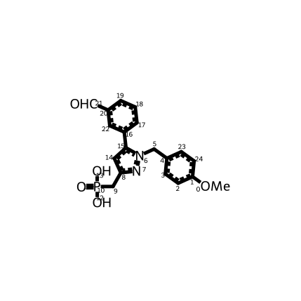 COc1ccc(Cn2nc(CP(=O)(O)O)cc2-c2cccc(C=O)c2)cc1